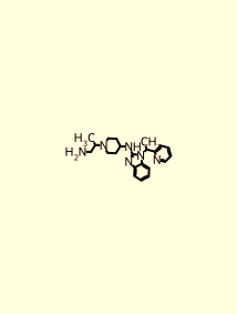 CC(CN)N1CCC(Nc2nc3ccccc3n2C(C)c2ccccn2)CC1